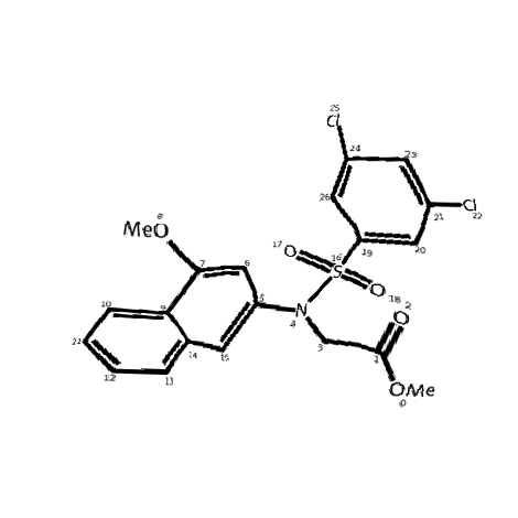 COC(=O)CN(c1cc(OC)c2ccccc2c1)S(=O)(=O)c1cc(Cl)cc(Cl)c1